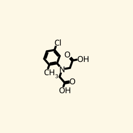 Cc1ccc(Cl)cc1N(CC(=O)O)CC(=O)O